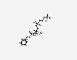 CC(C)(CCS(=O)(=O)CCC[N+](C)(C)C)NC(=O)OCc1ccccc1.O=C[O-]